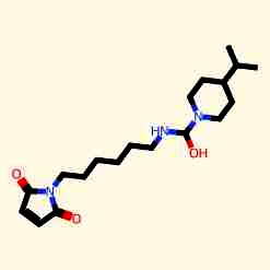 CC(C)C1CCN(C(O)NCCCCCCN2C(=O)C=CC2=O)CC1